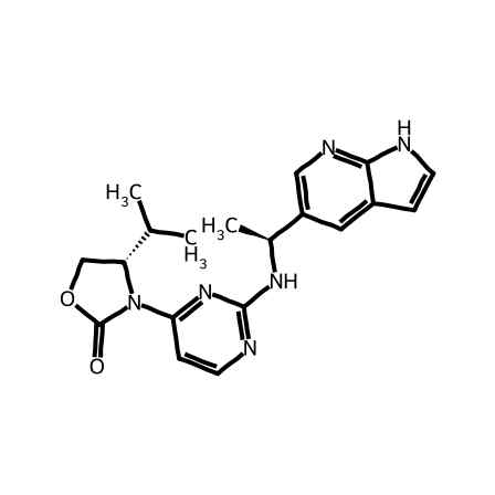 CC(C)[C@H]1COC(=O)N1c1ccnc(N[C@@H](C)c2cnc3[nH]ccc3c2)n1